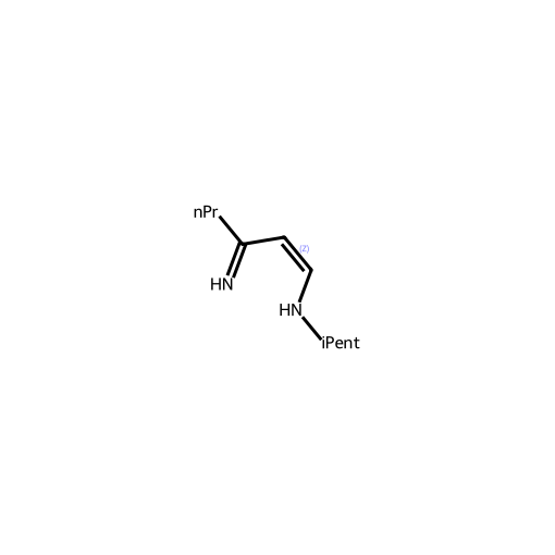 CCCC(=N)/C=C\NC(C)CCC